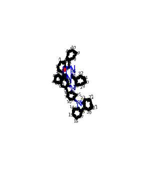 c1ccc(-c2ccc3c4ccc(-n5c6ccccc6c6ccccc65)cc4n(-c4ccccc4-c4nc(-c5ccccc5)nc(-c5ccccc5)n4)c3c2)cc1